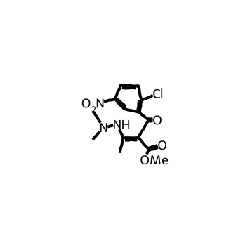 COC(=O)C(C(=O)c1cc([N+](=O)[O-])ccc1Cl)=C(C)NN(C)C